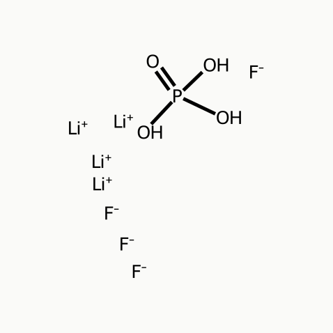 O=P(O)(O)O.[F-].[F-].[F-].[F-].[Li+].[Li+].[Li+].[Li+]